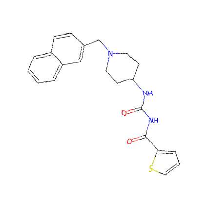 O=C(NC(=O)c1cccs1)NC1CCN(Cc2ccc3ccccc3c2)CC1